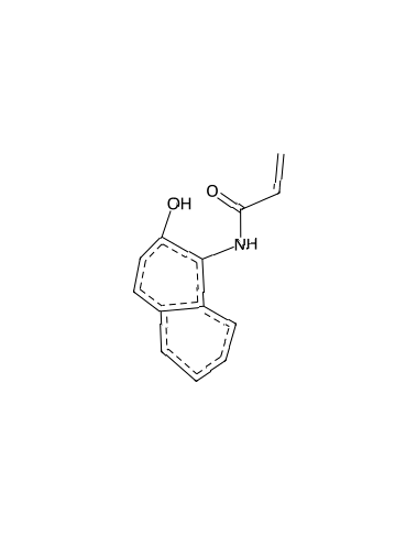 C=CC(=O)Nc1c(O)ccc2ccccc12